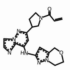 C=CC(=O)N1CCC(c2cc(Nc3cc4n(n3)CCOC4)c3nccn3n2)C1